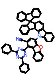 N#Cc1cc(-n2c3ccccc3c3ccc4c(c32)-c2ccccc2C42c3ccccc3-c3ccccc32)c2oc3ccccc3c2c1-c1nc(-c2ccccc2)nc(-c2ccccc2)n1